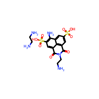 NCCN.NCCN1C(=O)c2cc(S(=O)(=O)O)cc3c(N)c(S(=O)(=O)O)cc(c23)C1=O